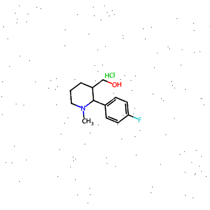 CN1CCCC(CO)C1c1ccc(F)cc1.Cl